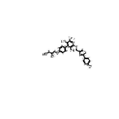 [C-]#[N+]c1c(N)nc(SCc2coc(-c3ccc(Cl)cc3)n2)c(C#N)c1-c1ccc(OCC(O)CO)cc1